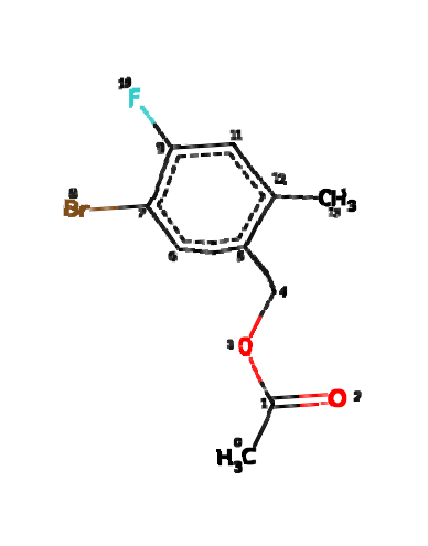 CC(=O)OCc1cc(Br)c(F)cc1C